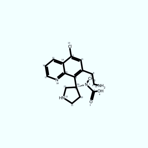 CN(C(=O)O)[C@]1(c2c(CCN)cc(Cl)c3cccnc23)CCNC1